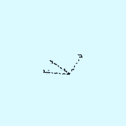 COC(OCCOCCOCCNC(=O)CCOCC(C)(COCCC(=O)NCCOCCOCCOC1OC(CO)C(O)C(O)C1O)COCCC(=O)NCCOCCOCCOC(OC)[C@H](O)CO)C(O)C(O)C(O)C(C)CO